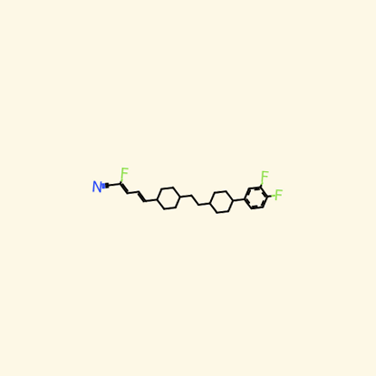 N#CC(F)=CC=CC1CCC(CCC2CCC(c3ccc(F)c(F)c3)CC2)CC1